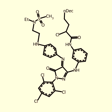 CCCCCCCCCCCCC(Cl)C(=O)Nc1cccc(NC2=NN(c3c(Cl)cc(Cl)cc3Cl)C(=O)C2=Nc2ccc(NCCN(CC)S(C)(=O)=O)cc2)c1